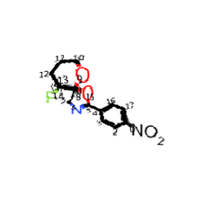 O=[N+]([O-])c1ccc(C2=NC[C@@]3(OCCC[C@@H]3F)O2)cc1